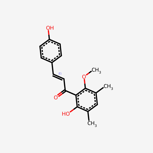 COc1c(C)cc(C)c(O)c1C(=O)/C=C/c1ccc(O)cc1